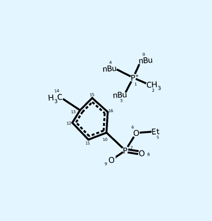 CCCC[P+](C)(CCCC)CCCC.CCOP(=O)([O-])c1ccc(C)cc1